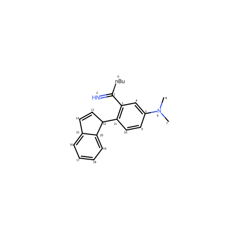 CCCCC(=N)c1cc(N(C)C)ccc1C1C=Cc2ccccc21